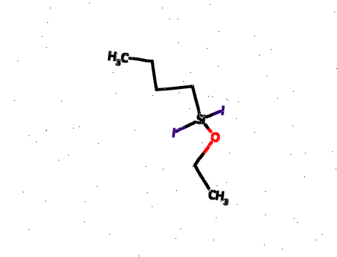 CCCC[Si](I)(I)OCC